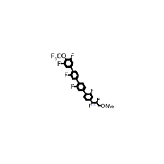 COC/C(F)=C(\F)c1ccc(-c2ccc(-c3ccc(-c4cc(F)c(OC(F)(F)F)c(F)c4)c(F)c3)c(F)c2)c(F)c1